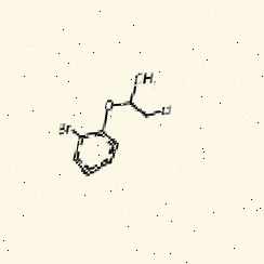 CC(CCl)Oc1ccccc1Br